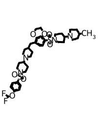 CC1CCN(C2CCN(S(=O)(=O)c3ccc(CC4CCN(C5CCN(S(=O)(=O)c6ccc(OC(F)F)cc6)CC5)CC4)c4c3OCCO4)CC2)CC1